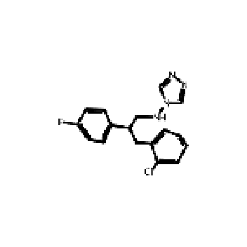 Fc1ccc(C(CNn2cnnc2)Cc2ccccc2Cl)cc1